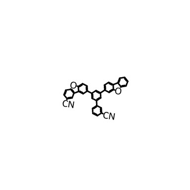 N#Cc1cccc(-c2cc(-c3ccc4c(c3)oc3ccccc34)cc(-c3ccc4oc5ccc(C#N)cc5c4c3)c2)c1